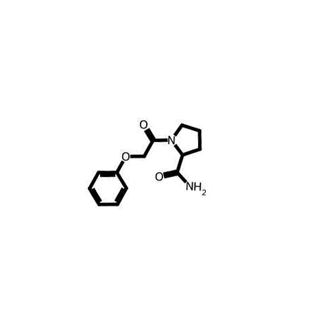 NC(=O)C1CCCN1C(=O)COc1ccccc1